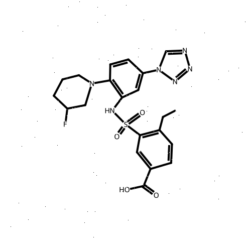 CCc1ccc(C(=O)O)cc1S(=O)(=O)Nc1cc(-n2cnnn2)ccc1N1CCCC(F)C1